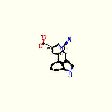 COC(=O)[C@@H]1CC2c3cccc4[nH]cc(c34)C[C@H]2N(C#N)C1